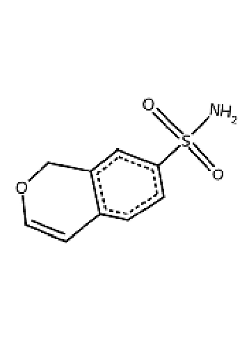 NS(=O)(=O)c1ccc2c(c1)COC=C2